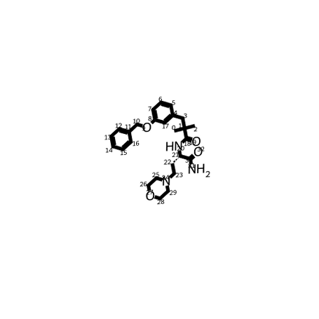 CC(C)(Cc1cccc(OCc2ccccc2)c1)C(=O)N[C@@H](CCN1CCOCC1)C(N)=O